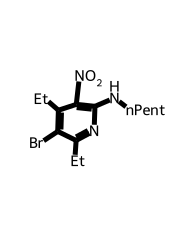 CCCCCNc1nc(CC)c(Br)c(CC)c1[N+](=O)[O-]